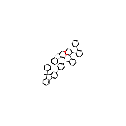 CC1(c2ccccc2)c2ccccc2-c2ccc(-c3ccc(N(c4ccccc4-c4ccccc4-c4ccccc4-c4ccccc4)c4cccc5sc6ccccc6c45)cc3)cc21